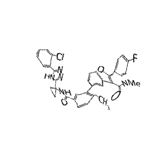 CNC(=O)c1c(-c2ccc(F)cc2)oc2ccc(-c3cc(C(=O)NC4(c5nnc(-c6ccccc6Cl)[nH]5)CC4)ccc3C)cc12